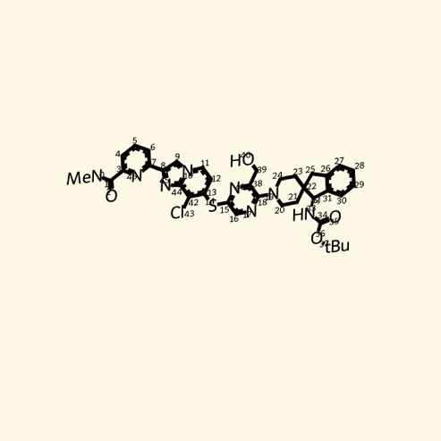 CNC(=O)c1cccc(-c2cn3ccc(Sc4cnc(N5CCC6(CC5)Cc5ccccc5[C@H]6NC(=O)OC(C)(C)C)c(CO)n4)c(Cl)c3n2)n1